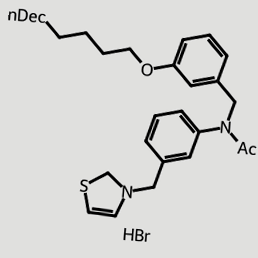 Br.CCCCCCCCCCCCCCOc1cccc(CN(C(C)=O)c2cccc(CN3C=CSC3)c2)c1